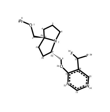 CC(C)OC[C@@]12CCCN1[C@H](COc1ncncc1C(F)F)CC2